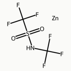 O=S(=O)(NC(F)(F)F)C(F)(F)F.[Zn]